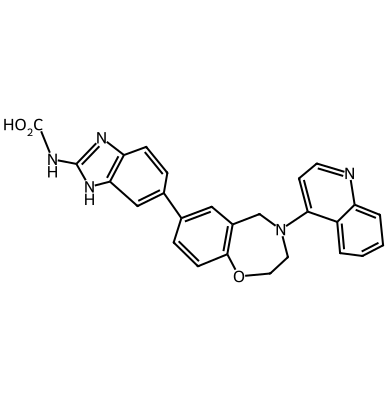 O=C(O)Nc1nc2ccc(-c3ccc4c(c3)CN(c3ccnc5ccccc35)CCO4)cc2[nH]1